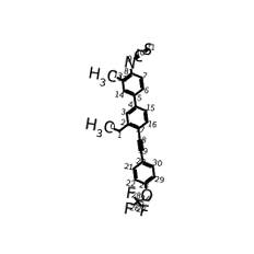 CCc1cc(-c2ccc(N=C=S)c(C)c2)ccc1C#Cc1ccc(OC(F)(F)F)cc1